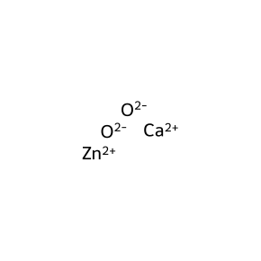 [Ca+2].[O-2].[O-2].[Zn+2]